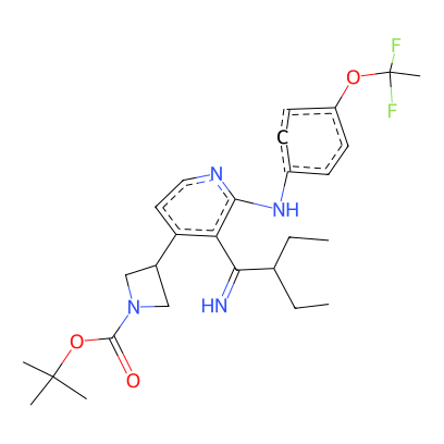 CCC(CC)C(=N)c1c(C2CN(C(=O)OC(C)(C)C)C2)ccnc1Nc1ccc(OC(C)(F)F)cc1